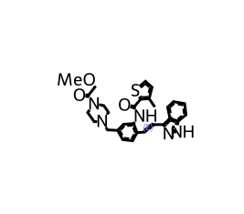 COCC(=O)N1CCN(Cc2ccc(/C=C/c3n[nH]c4ccccc34)c(NC(=O)c3sccc3C)c2)CC1